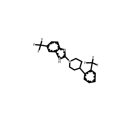 FC(F)(F)c1ccc2nc(N3CCC(c4ccccc4C(F)(F)F)CC3)[nH]c2c1